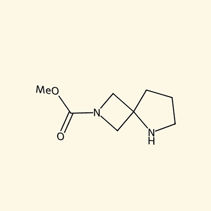 COC(=O)N1CC2(CCCN2)C1